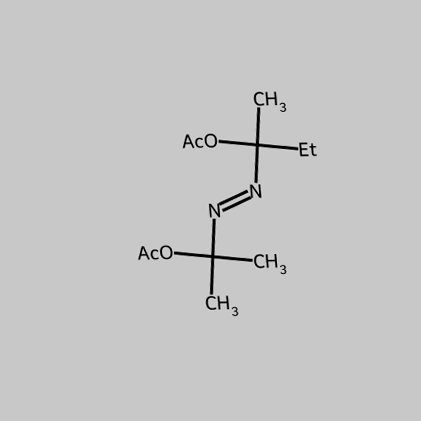 CCC(C)(N=NC(C)(C)OC(C)=O)OC(C)=O